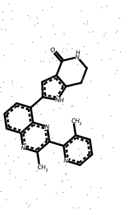 Cc1cccnc1-c1nc2c(-c3cc4c([nH]3)CCNC4=O)cccc2nc1C